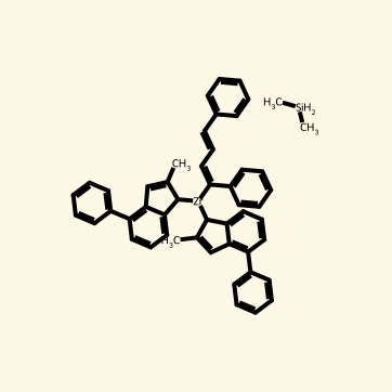 CC1=Cc2c(-c3ccccc3)cccc2[CH]1[Zr]([C](=CC=Cc1ccccc1)c1ccccc1)[CH]1C(C)=Cc2c(-c3ccccc3)cccc21.C[SiH2]C